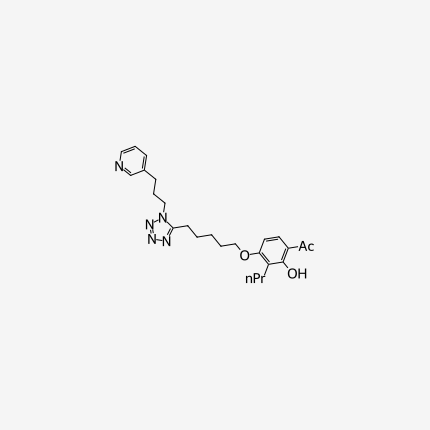 CCCc1c(OCCCCCc2nnnn2CCCc2cccnc2)ccc(C(C)=O)c1O